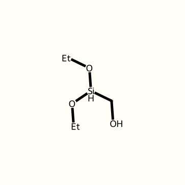 CCO[SiH](CO)OCC